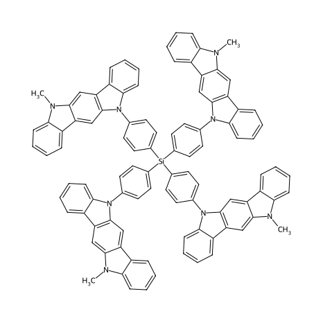 Cn1c2ccccc2c2cc3c(cc21)c1ccccc1n3-c1ccc([Si](c2ccc(-n3c4ccccc4c4cc5c(cc43)c3ccccc3n5C)cc2)(c2ccc(-n3c4ccccc4c4cc5c(cc43)c3ccccc3n5C)cc2)c2ccc(-n3c4ccccc4c4cc5c(cc43)c3ccccc3n5C)cc2)cc1